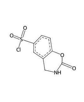 O=C1NCc2cc(S(=O)(=O)Cl)ccc2O1